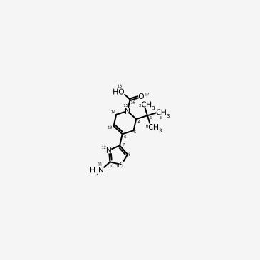 CC(C)(C)C1CC(c2csc(N)n2)=CCN1C(=O)O